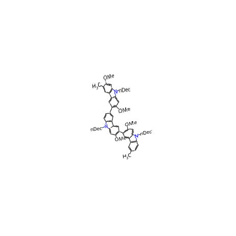 CCCCCCCCCCn1c2cc(OC)c(C)cc2c2cc(-c3ccc4c(c3)c3cc(-c5cc6c7cc(C)ccc7n(CCCCCCCCCC)c6cc5OC)c(OC)cc3n4CCCCCCCCCC)c(OC)cc21